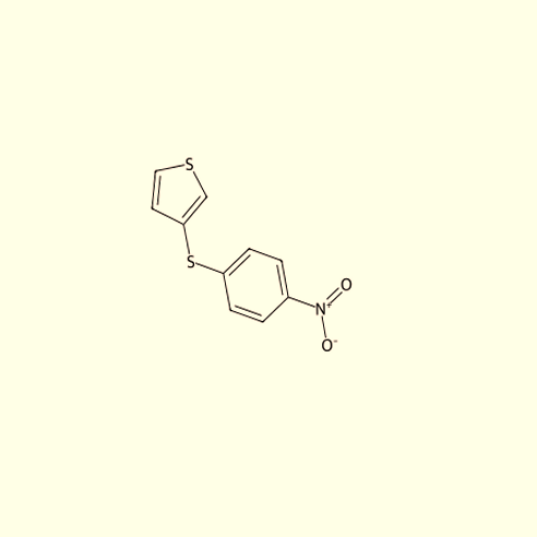 O=[N+]([O-])c1ccc(Sc2ccsc2)cc1